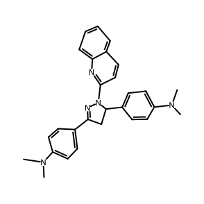 CN(C)c1ccc(C2=NN(c3ccc4ccccc4n3)C(c3ccc(N(C)C)cc3)C2)cc1